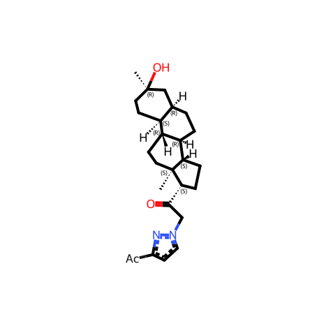 CC(=O)c1ccn(CC(=O)[C@H]2CC[C@H]3[C@@H]4CC[C@@H]5C[C@](C)(O)CC[C@@H]5[C@H]4CC[C@]23C)n1